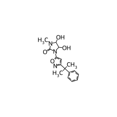 CN1C(=O)N(c2cc(C(C)(C)c3ccccc3)no2)C(O)C1O